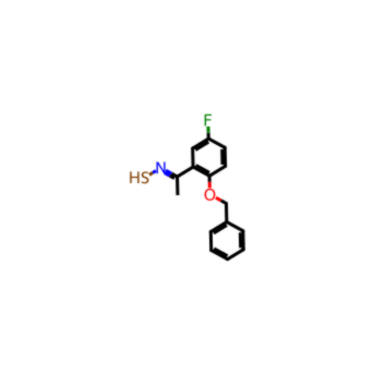 C/C(=N\S)c1cc(F)ccc1OCc1ccccc1